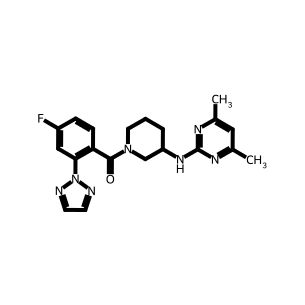 Cc1cc(C)nc(NC2CCCN(C(=O)c3ccc(F)cc3-n3nccn3)C2)n1